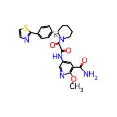 COc1ncc(NC(=O)C(=O)N2CCCC[C@H]2c2ccc(-c3nccs3)cc2)cc1C(N)=O